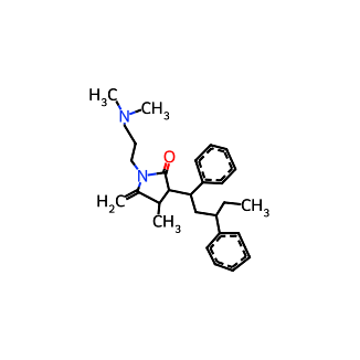 C=C1C(C)C(C(CC(CC)c2ccccc2)c2ccccc2)C(=O)N1CCCN(C)C